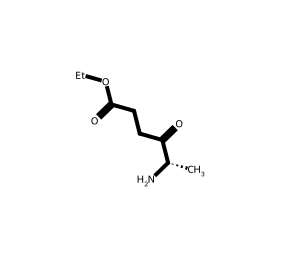 CCOC(=O)CCC(=O)[C@H](C)N